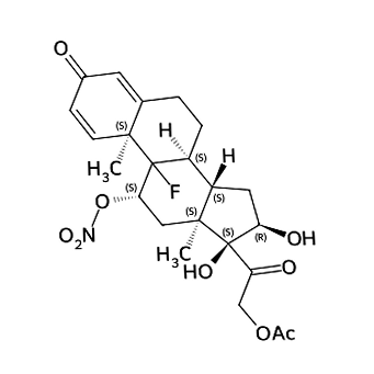 CC(=O)OCC(=O)[C@@]1(O)[C@H](O)C[C@H]2[C@@H]3CCC4=CC(=O)C=C[C@]4(C)C3(F)[C@@H](O[N+](=O)[O-])C[C@@]21C